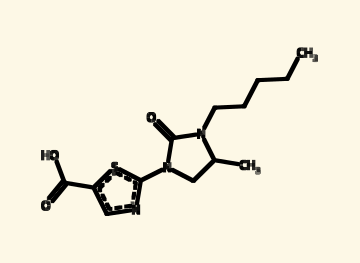 CCCCCN1C(=O)N(c2ncc(C(=O)O)s2)CC1C